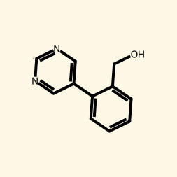 OCc1ccccc1-c1cn[c]nc1